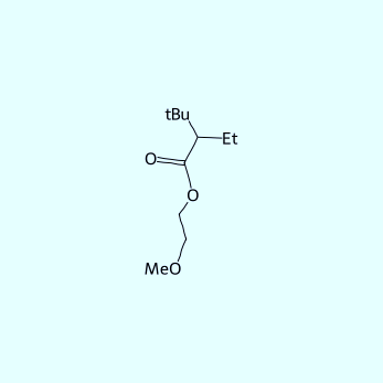 CCC(C(=O)OCCOC)C(C)(C)C